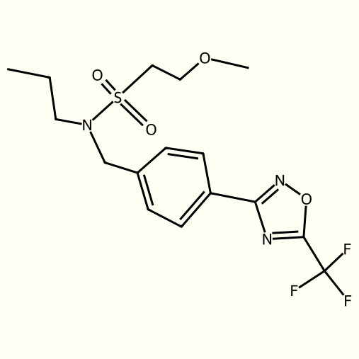 CCCN(Cc1ccc(-c2noc(C(F)(F)F)n2)cc1)S(=O)(=O)CCOC